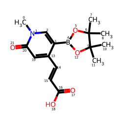 Cn1cc(B2OC(C)(C)C(C)(C)O2)c(C=CC(=O)O)cc1=O